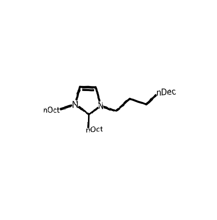 CCCCCCCCCCCCCN1C=CN(CCCCCCCC)C1CCCCCCCC